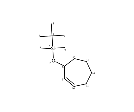 CC(C)(C)[Si](C)(C)OC1C=CCCCC1